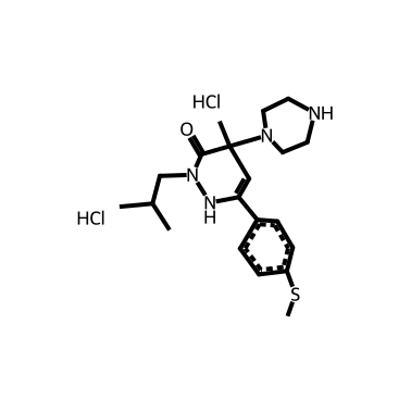 CSc1ccc(C2=CC(C)(N3CCNCC3)C(=O)N(CC(C)C)N2)cc1.Cl.Cl